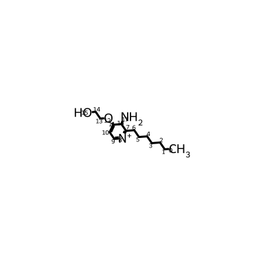 CCCCCCCC1=[N+]=CC=C(OCCO)C1N